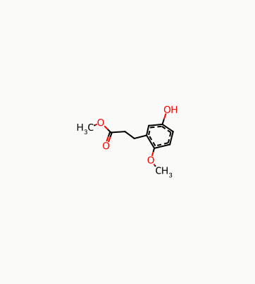 COC(=O)CCc1cc(O)ccc1OC